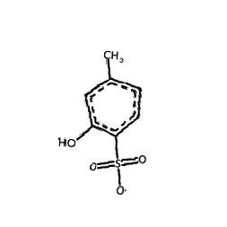 Cc1ccc(S([O])(=O)=O)c(O)c1